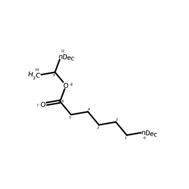 CCCCCCCCCCCCCCCC(=O)OC(C)CCCCCCCCCC